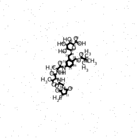 CC(C)[C@H](NC(=O)CN1C(=O)CC(P)C1=O)C(=O)N[C@@H](C)C(=O)Nc1ccc(COC(=O)C(C)(C)C)c(CC[C@@H]2O[C@H](C(=O)O)[C@@H](O)[C@H](O)[C@H]2O)c1